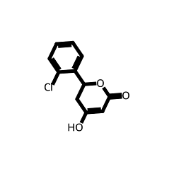 O=C1C=C(O)CC(c2ccccc2Cl)O1